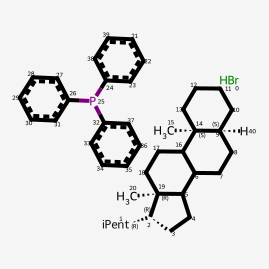 Br.CCC[C@@H](C)[C@H]1CCC2C3CC[C@@H]4CCCC[C@]4(C)C3CC[C@@]21C.c1ccc(P(c2ccccc2)c2ccccc2)cc1